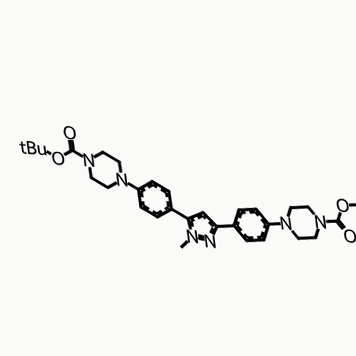 Cn1nc(-c2ccc(N3CCN(C(=O)OC(C)(C)C)CC3)cc2)cc1-c1ccc(N2CCN(C(=O)OC(C)(C)C)CC2)cc1